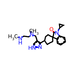 CNCCN(C)Cc1c[nH]nc1C1CCC2(CC1)C(=O)N(C1CC1)c1ccccc12